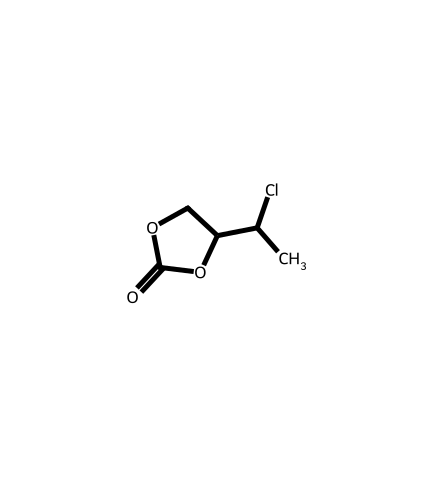 CC(Cl)C1COC(=O)O1